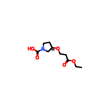 CCOC(=O)CCO[C@@H]1CCN(C(=O)O)C1